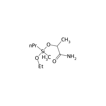 CCC[Si](C)(OCC)OC(C)C(N)=O